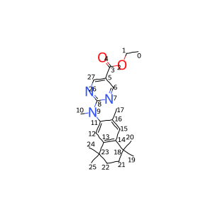 CCOC(=O)c1cnc(N(C)c2cc3c(cc2C)C(C)(C)CCC3(C)C)nc1